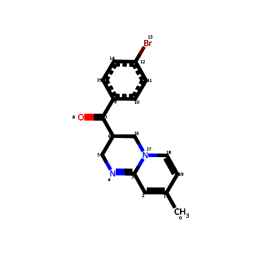 CC1=CC2=NCC(C(=O)c3ccc(Br)cc3)CN2C=C1